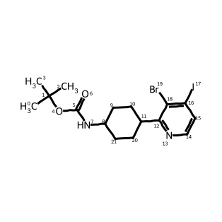 CC(C)(C)OC(=O)NC1CCC(c2nccc(I)c2Br)CC1